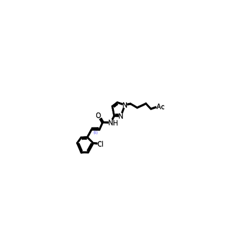 CC(=O)CCCCn1ccc(NC(=O)/C=C/c2ccccc2Cl)n1